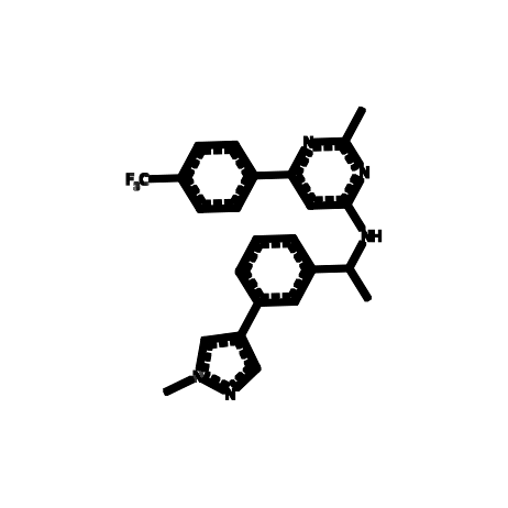 Cc1nc(NC(C)c2cccc(-c3cnn(C)c3)c2)cc(-c2ccc(C(F)(F)F)cc2)n1